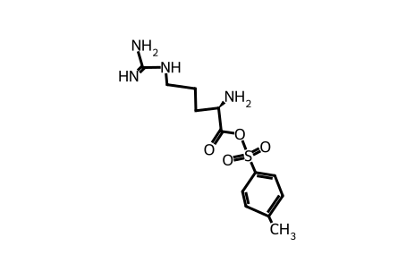 Cc1ccc(S(=O)(=O)OC(=O)[C@H](N)CCCNC(=N)N)cc1